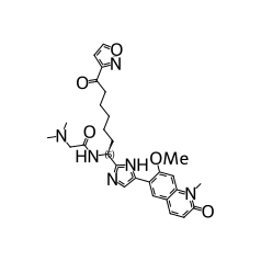 COc1cc2c(ccc(=O)n2C)cc1-c1cnc([C@H](CCCCCC(=O)c2ccon2)NC(=O)CN(C)C)[nH]1